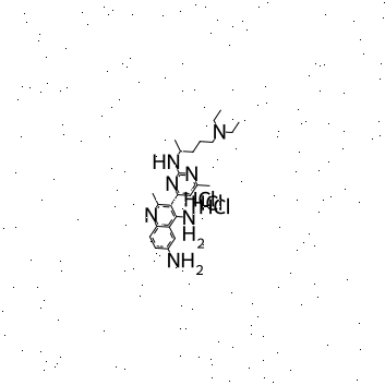 CCN(CC)CCCC(C)Nc1nc(C)cc(-c2c(C)nc3ccc(N)cc3c2N)n1.Cl.Cl.Cl